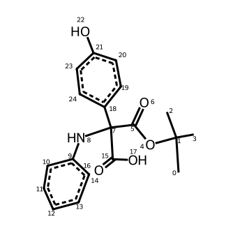 CC(C)(C)OC(=O)C(Nc1ccccc1)(C(=O)O)c1ccc(O)cc1